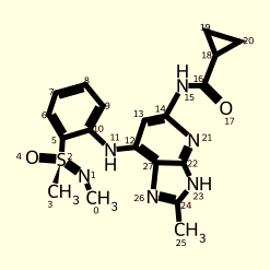 CN=[S@](C)(=O)c1ccccc1Nc1cc(NC(=O)C2CC2)nc2[nH]c(C)nc12